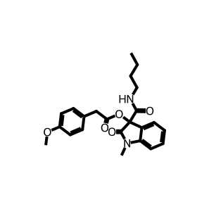 CCCCNC(=O)C1(OC(=O)Cc2ccc(OC)cc2)C(=O)N(C)c2ccccc21